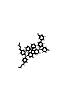 CCCCc1ccc(N(c2ccc(CCCC)cc2)c2ccc3c(c2)C(c2ccccc2)(c2ccccc2)c2cc(-n4c5ccc(C)cc5c5cc(-c6cccc(C)c6)ccc54)ccc2-3)cc1